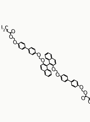 C=CC(=O)OCOc1ccc(-c2ccc(OCOc3ccc4ccccc4c3-c3c(OCOc4ccc(-c5ccc(OCOC(=O)C=C)cc5)cc4)ccc4ccccc34)cc2)cc1